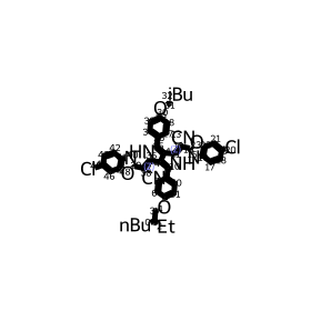 CCCCC(CC)COc1ccc(-c2[nH]/c(=C(/C#N)c3nc4ccc(Cl)cc4o3)c3c(-c4ccc(OCC(C)CC)cc4)[nH]/c(=C(/C#N)c4nc5ccc(Cl)cc5o4)c23)cc1